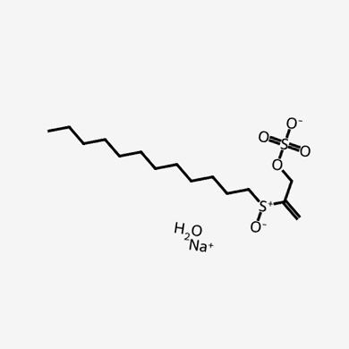 C=C(COS(=O)(=O)[O-])[S+]([O-])CCCCCCCCCCCC.O.[Na+]